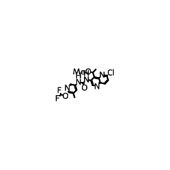 COC(C)c1c(NC(=O)Nc2cnc(OC(F)F)c(C)c2)cnc2ccc(Cl)nc12